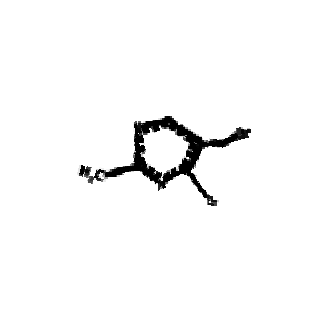 Cc1ncc(Br)c(Br)n1